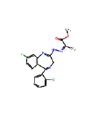 COC(=O)/C(C)=N\NC1=Nc2cc(F)ccc2C(c2ccccc2Cl)=NC1